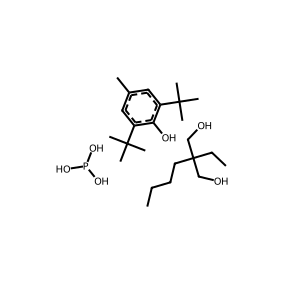 CCCCC(CC)(CO)CO.Cc1cc(C(C)(C)C)c(O)c(C(C)(C)C)c1.OP(O)O